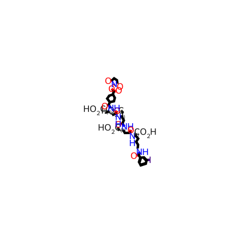 O=C(O)C[C@@H](CC(=O)N[C@@H](CC(=O)O)CC(=O)N[C@H](CCCCNC(=O)c1cccc(I)c1)C(=O)O)NC(=O)C[C@H](CC(=O)O)NC(=O)C1CCC(C(=O)ON2C(=O)CCC2=O)CC1